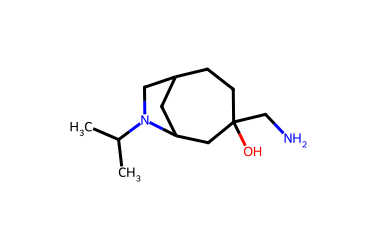 CC(C)N1CC2CCC(O)(CN)CC1C2